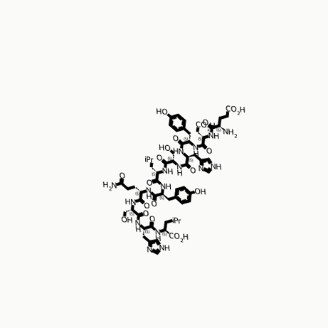 CC(C)C[C@H](NC(=O)[C@H](Cc1c[nH]cn1)NC(=O)[C@H](CO)NC(=O)[C@H](CCC(N)=O)NC(=O)[C@H](Cc1ccc(O)cc1)NC(=O)[C@H](CC(C)C)NC(=O)[C@H](CO)NC(=O)[C@H](Cc1c[nH]cn1)NC(=O)[C@H](Cc1ccc(O)cc1)NC(=O)[C@H](CC(=O)O)NC(=O)[C@@H](N)CCC(=O)O)C(=O)O